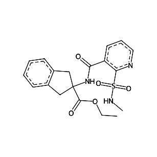 CCOC(=O)C1(NC(=O)c2cccnc2S(=O)(=O)NC)Cc2ccccc2C1